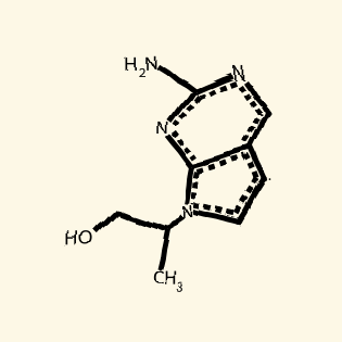 CC(CO)n1c[c]c2cnc(N)nc21